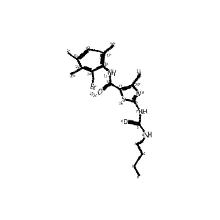 CCCCNC(=O)Nc1nc(C)c(C(=O)Nc2c(C)cc(C)c(C)c2Br)s1